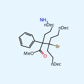 CCCCCCCCCCCCC(Br)(CCCCCCCCCCCC)C(CCCCCCCCCCCC)(C(=O)OC)c1ccccc1.N